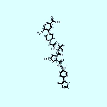 Cc1ncsc1-c1ccc([C@@H](C)NC(=O)[C@H]2C[C@H](O)CN2C(=O)[C@H](NC(=O)CN2CCN(c3cc(C(=O)O)nnc3N)CC2)C(C)(C)C)cc1